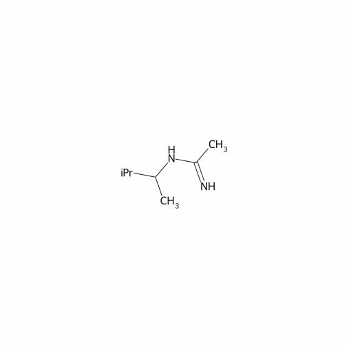 CC(=N)NC(C)C(C)C